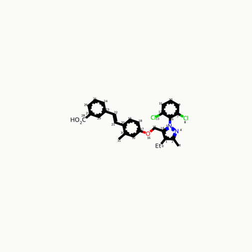 CCc1c(C)nn(-c2c(Cl)cccc2Cl)c1COc1ccc(C=Cc2cccc(C(=O)O)c2)c(C)c1